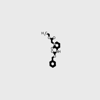 CCOC(=O)Cn1cccc(NC(=O)OCc2ccccc2)c1=O